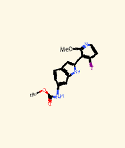 COc1nccc(I)c1-c1cc2ccc(NC(=O)OC(C)(C)C)cc2[nH]1